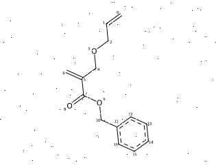 C=CCOCC(=C)C(=O)OCc1ccccc1